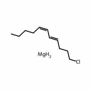 CCCC/C=C\C=C\CCCCl.[MgH2]